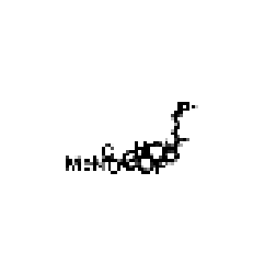 CNC(=O)O[C@H]1CC[C@@]2(C)C(=CC[C@H]3[C@@H]4CC[C@H]([C@H](C)CCCC(C)C)[C@@]4(C)CC[C@@H]32)C1